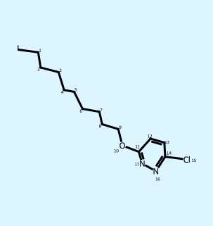 CCCCCCCCCCOc1ccc(Cl)nn1